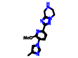 COc1nc(-c2nc3n(n2)CCNC3)ccc1-n1cnc(C)c1